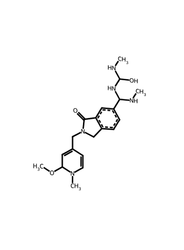 CNC(O)NC(NC)c1ccc2c(c1)C(=O)N(CC1=CC(OC)N(C)C=C1)C2